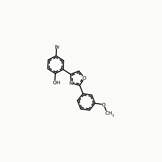 COc1cccc(-c2nc(-c3cc(Br)ccc3O)co2)c1